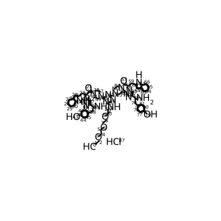 C#CCOCCOCCOCCNc1nc(N2CCN(C(=O)C(Cc3cc4ccccc4[nH]3)n3cc(C(N)Cc4ccc(O)cc4)nn3)CC2)nc(N2CCN(C(=O)C(Cc3cc4ccccc4[nH]3)n3cc(C(N)Cc4ccc(O)cc4)nn3)CC2)n1.Cl